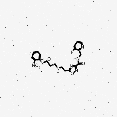 O=C(CCNCCc1nc(C(=O)NCc2ncccc2F)no1)Nc1ccccc1[N+](=O)[O-]